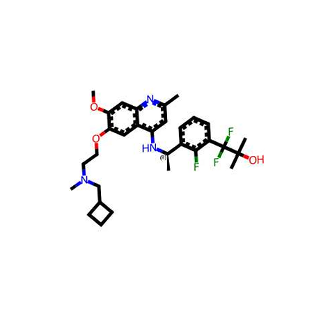 COc1cc2nc(C)cc(N[C@H](C)c3cccc(C(F)(F)C(C)(C)O)c3F)c2cc1OCCN(C)CC1CCC1